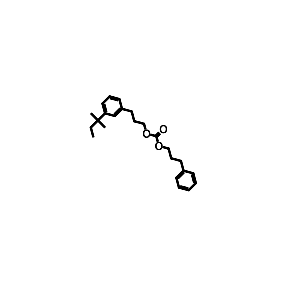 CCC(C)(C)c1cccc(CCCOC(=O)OCCCc2ccccc2)c1